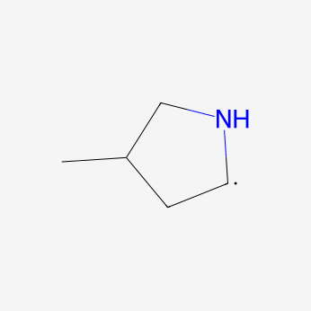 CC1C[CH]NC1